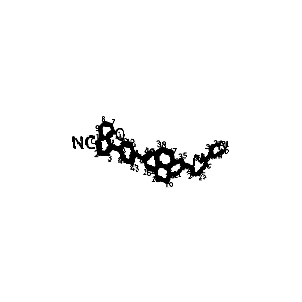 N#Cc1ccc2c3c(cccc13)Oc1cc(-c3cc4ccc5cc(-c6cccc(-c7ccncc7)n6)cc6ccc(c3)c4c56)ccc1-2